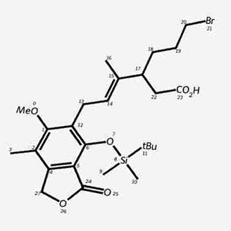 COc1c(C)c2c(c(O[Si](C)(C)C(C)(C)C)c1C/C=C(\C)C(CCCBr)CC(=O)O)C(=O)OC2